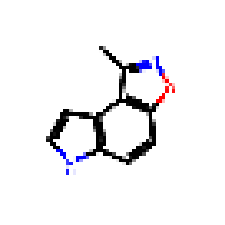 Cc1noc2ccc3[nH]ccc3c12